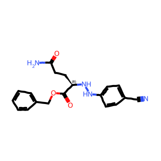 N#Cc1ccc(NN[C@H](CCC(N)=O)C(=O)OCc2ccccc2)cc1